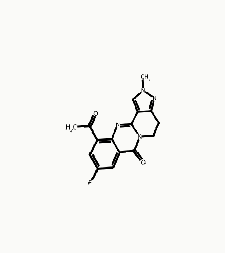 CC(=O)c1cc(F)cc2c(=O)n3c(nc12)-c1cn(C)nc1CC3